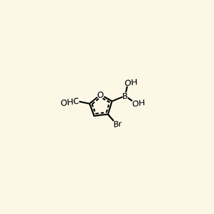 O=Cc1cc(Br)c(B(O)O)o1